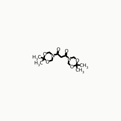 CC1(C)OCN(C(=O)CC(=O)N2COC(C)(C)OC2)CO1